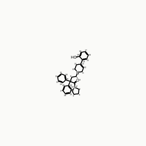 O=C(N1CCCC1)C(CCN1CC=C(c2ccccc2O)CC1)(c1ccccc1)c1ccccc1